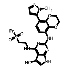 CC(C)S(=O)(=O)CCNc1nc(Nc2ccc(-c3ccnn3C)c3c2OCCO3)nc2[nH]cc(C#N)c12